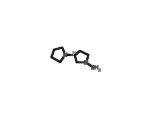 BN1CC[C@H](N2CCCC2)C1